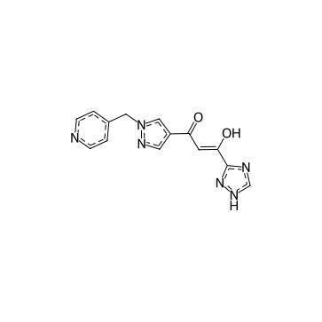 O=C(C=C(O)c1nc[nH]n1)c1cnn(Cc2ccncc2)c1